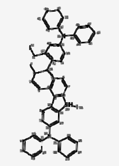 CC1C=Cc2c(ccc3c2-c2ccc(N(c4ccccc4)c4ccccc4)cc2[SiH]3I)C1c1ccc(N(C2=CCCC=C2)c2ccccc2)cc1CI